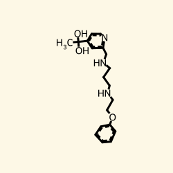 CC(O)(O)c1ccnc(CNCCCNCCOc2ccccc2)c1